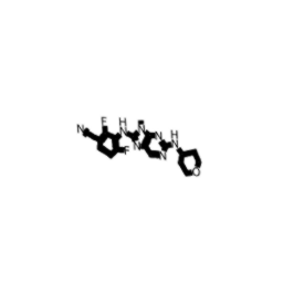 Cn1c(Nc2c(F)ccc(C#N)c2F)nc2cnc(NC3CCOCC3)nc21